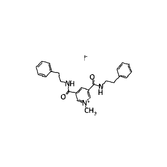 C[n+]1cc(C(=O)NCCc2ccccc2)cc(C(=O)NCCc2ccccc2)c1.[I-]